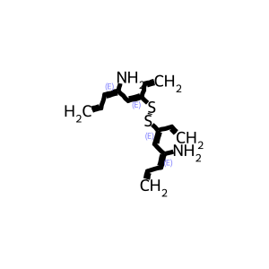 C=C/C=C(N)\C=C(/C=C)SS/C(C=C)=C/C(N)=C\C=C